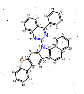 c1ccc(-c2nc(-n3c4cc5sc6ccccc6c5cc4c4ccc5ccccc5c43)nc3ccccc23)cc1